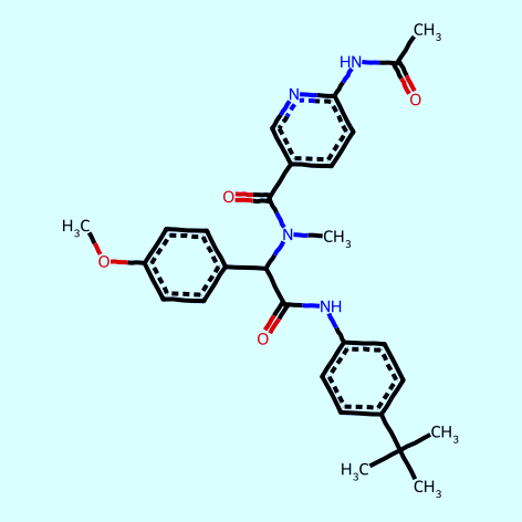 COc1ccc(C(C(=O)Nc2ccc(C(C)(C)C)cc2)N(C)C(=O)c2ccc(NC(C)=O)nc2)cc1